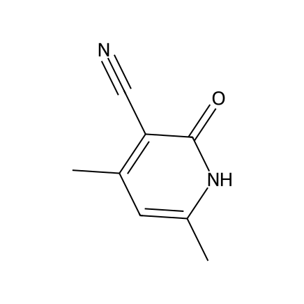 Cc1cc(C)c(C#N)c(=O)[nH]1